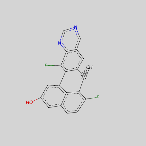 C#Cc1c(F)ccc2cc(O)cc(-c3c(C#N)cc4cncnc4c3F)c12